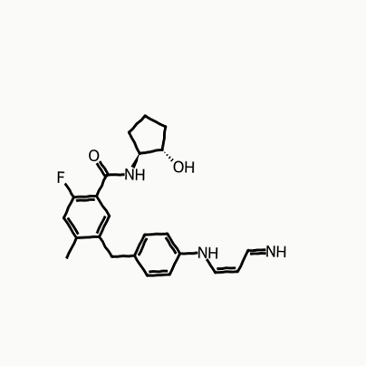 Cc1cc(F)c(C(=O)N[C@H]2CCC[C@@H]2O)cc1Cc1ccc(N/C=C\C=N)cc1